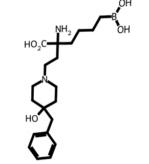 NC(CCCCB(O)O)(CCN1CCC(O)(Cc2ccccc2)CC1)C(=O)O